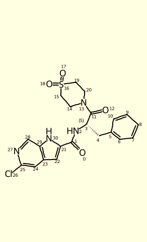 O=C(N[C@@H](Cc1ccccc1)C(=O)N1CCS(=O)(=O)CC1)c1cc2cc(Cl)ncc2[nH]1